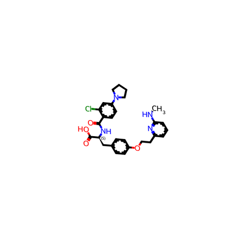 CNc1cccc(CCOc2ccc(C[C@H](NC(=O)c3ccc(N4CCCC4)cc3Cl)C(=O)O)cc2)n1